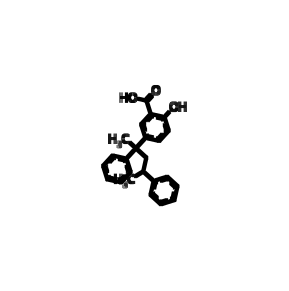 CC(CC(C)(c1ccccc1)c1ccc(O)c(C(=O)O)c1)c1ccccc1